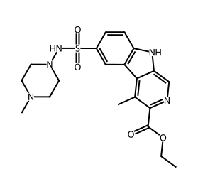 CCOC(=O)c1ncc2[nH]c3ccc(S(=O)(=O)NN4CCN(C)CC4)cc3c2c1C